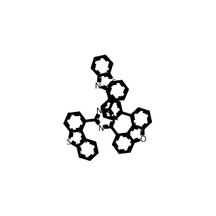 c1ccc(-c2nc(-c3cccc4sc5ccccc5c34)nc(-c3cccc4oc5cccc(-c6cccc(-c7nc8ccccc8s7)c6)c5c34)n2)cc1